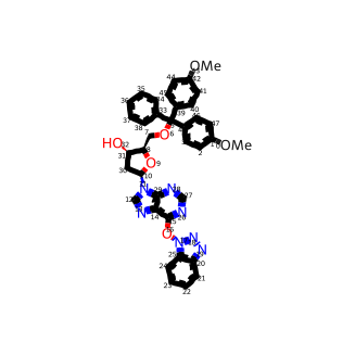 COc1ccc(C(OC[C@H]2O[C@@H](n3cnc4c(On5nnc6ccccc65)ncnc43)C[C@@H]2O)(c2ccccc2)c2ccc(OC)cc2)cc1